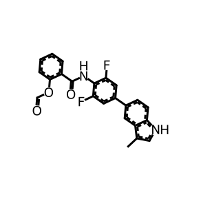 Cc1c[nH]c2ccc(-c3cc(F)c(NC(=O)c4ccccc4OC=O)c(F)c3)cc12